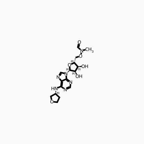 CN(C=O)OC[C@H]1O[C@@H](n2cnc3c(N[C@@H]4CCOC4)ncnc32)[C@H](O)[C@@H]1O